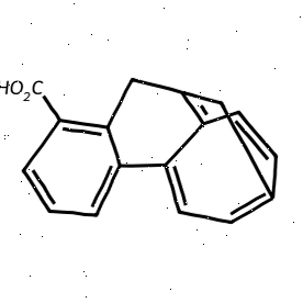 O=C(O)c1cccc2c1CC1=C3C=CC(=CC=C32)C1